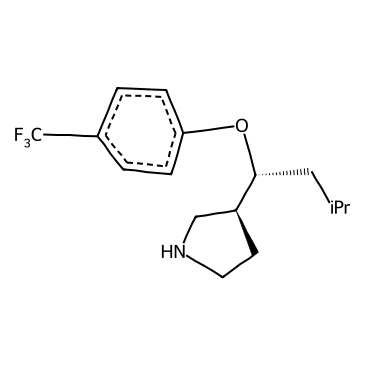 CC(C)C[C@@H](Oc1ccc(C(F)(F)F)cc1)[C@H]1CCNC1